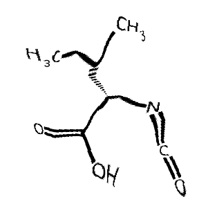 CC(C)[C@H](N=C=O)C(=O)O